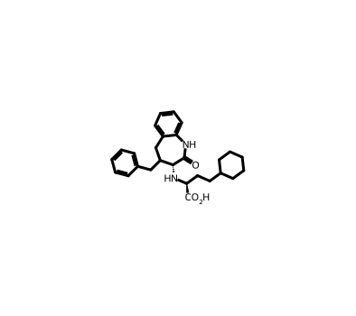 O=C(O)[C@H](CCC1CCCCC1)N[C@H]1C(=O)Nc2ccccc2CC1Cc1ccccc1